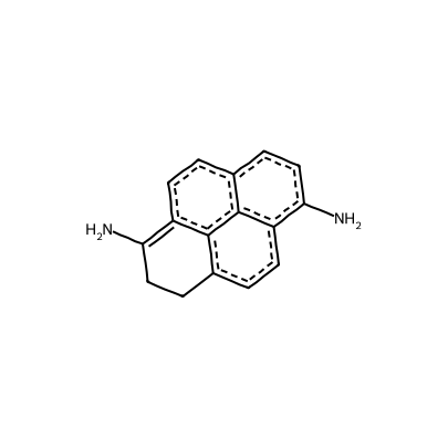 NC1=c2ccc3ccc(N)c4ccc(c2c34)CC1